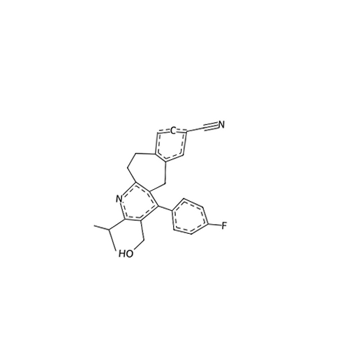 CC(C)c1nc2c(c(-c3ccc(F)cc3)c1CO)Cc1cc(C#N)ccc1CC2